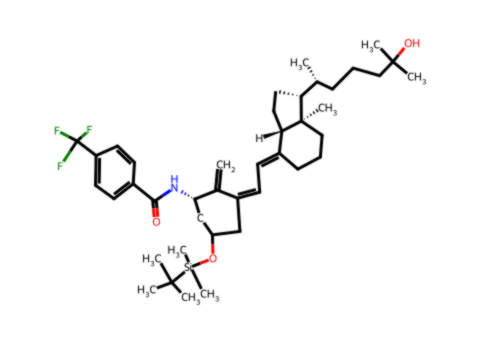 C=C1/C(=C\C=C2/CCC[C@]3(C)[C@@H]([C@H](C)CCCC(C)(C)O)CC[C@@H]23)CC(O[Si](C)(C)C(C)(C)C)C[C@@H]1NC(=O)c1ccc(C(F)(F)F)cc1